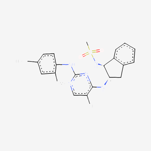 COc1cc(C(=O)O)ccc1Nc1ncc(C(F)(F)F)c(N[C@@H]2Cc3ccccc3[C@@H]2NS(C)(=O)=O)n1